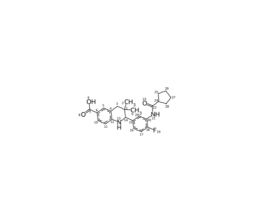 CC1(C)Cc2cc(C(=O)O)ccc2NC1c1ccc(F)c(NC(=O)C2CCCC2)c1